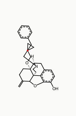 C=C1CC[C@@]2(OCCCc3ccccc3)[C@H]3Cc4ccc(O)c5c4[C@@]2(CCN3CC2CC2)C1O5